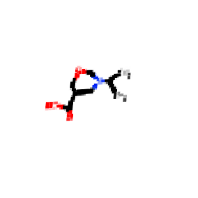 CC(C)N1C=C(C(=O)O)COC1